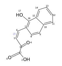 O=C(O)C(=O)/C=C\c1ccc2ccccc2c1O